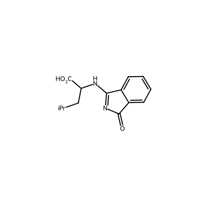 CC(C)CC(NC1=NC(=O)c2ccccc21)C(=O)O